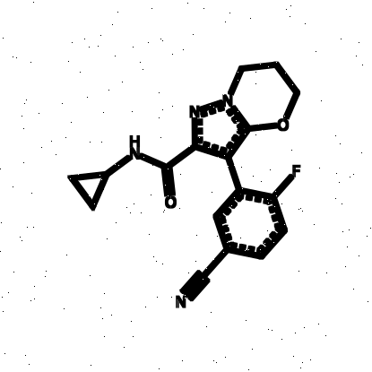 N#Cc1ccc(F)c(-c2c(C(=O)NC3CC3)nn3c2OCCC3)c1